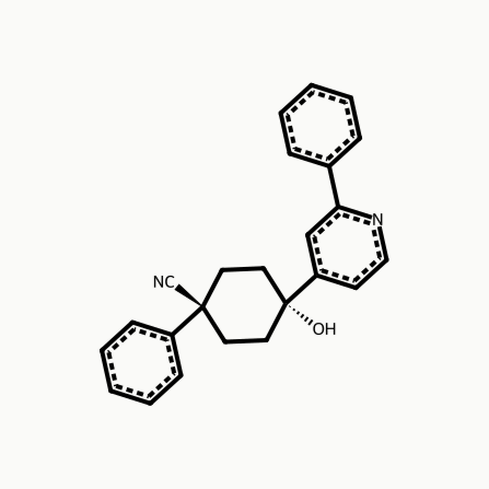 N#C[C@]1(c2ccccc2)CC[C@](O)(c2ccnc(-c3ccccc3)c2)CC1